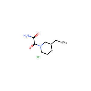 CNCC1CCCN(C(=O)C(N)=O)C1.Cl